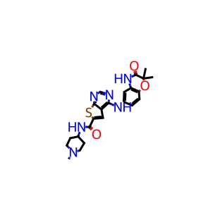 CN1CCC(NC(=O)c2cc3c(Nc4ccc5c(c4)NC(=O)C(C)(C)O5)ncnc3s2)CC1